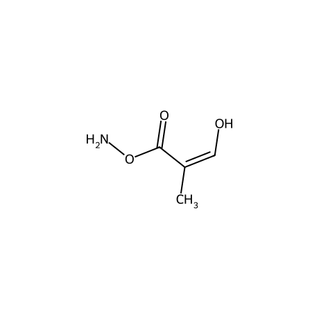 CC(=CO)C(=O)ON